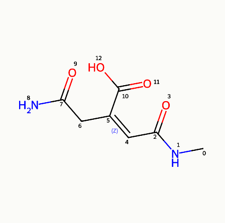 CNC(=O)/C=C(/CC(N)=O)C(=O)O